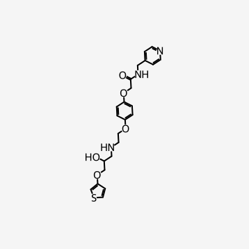 O=C(COc1ccc(OCCNCC(O)COc2ccsc2)cc1)NCc1ccncc1